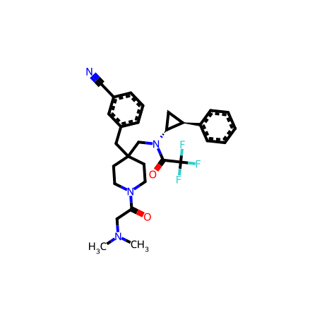 CN(C)CC(=O)N1CCC(Cc2cccc(C#N)c2)(CN(C(=O)C(F)(F)F)[C@@H]2C[C@H]2c2ccccc2)CC1